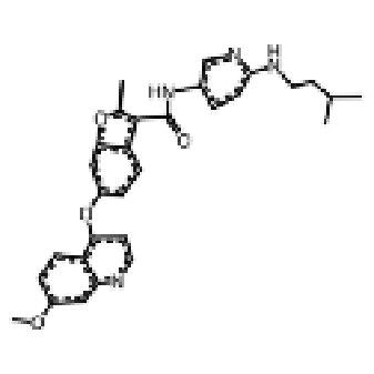 COc1ccc2c(Oc3ccc4c(C(=O)Nc5ccc(NCCC(C)C)nc5)c(C)oc4c3)ccnc2c1